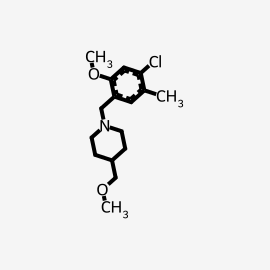 COCC1CCN(Cc2cc(C)c(Cl)cc2OC)CC1